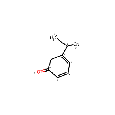 CC(C#N)C1=CC=CC(=O)C1